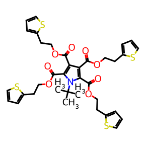 CC(C)(C)n1c(C(=O)OCCc2cccs2)c(C(=O)OCCc2cccs2)c(C(=O)OCCc2cccs2)c1C(=O)OCCc1cccs1